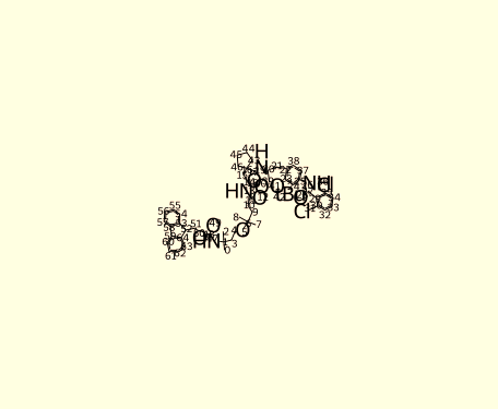 CC(C)(CCOC(C)(C)CCC(=O)NCCC1(C(=O)N[C@@H](Cc2ccc(NC(=O)c3c(Cl)cccc3Cl)cc2)C(=O)OC(C)(C)C)CCCC1)NC(=O)OCC1c2ccccc2-c2ccccc21